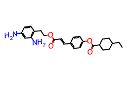 CCC1CCC(C(=O)Oc2ccc(C=CC(=O)OCCc3ccc(N)cc3N)cc2)CC1